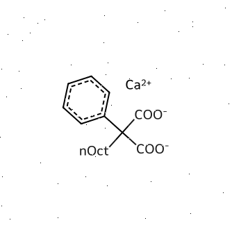 CCCCCCCCC(C(=O)[O-])(C(=O)[O-])c1ccccc1.[Ca+2]